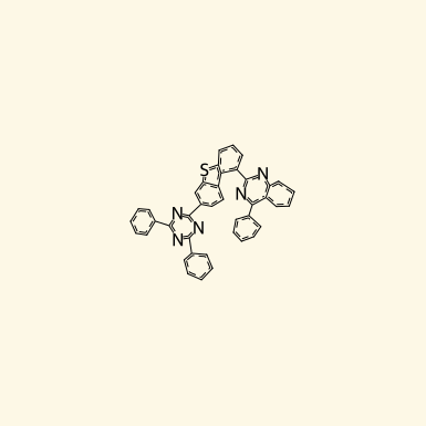 c1ccc(-c2nc(-c3ccccc3)nc(-c3ccc4c(c3)sc3cccc(-c5nc(-c6ccccc6)c6ccccc6n5)c34)n2)cc1